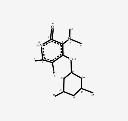 CCc1c(C)[nH]c(=O)c(N(C)C)c1OC1CC(C)CC(C)C1